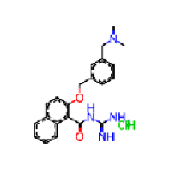 CN(C)Cc1cccc(COc2ccc3ccccc3c2C(=O)NC(=N)N)c1.Cl